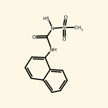 CS(=O)(=O)N(S)C(=O)Nc1cccc2ccccc12